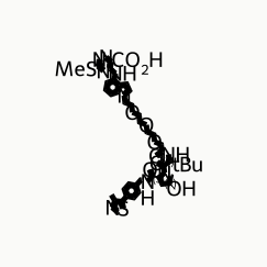 CSc1nnc(C(=O)O)c(Nc2cccc3c2ccn3CCOCCOCCOCC(=O)N[C@H](C(=O)N2C[C@H](O)C[C@H]2C(=O)NCc2ccc(-c3scnc3C)cc2)C(C)(C)C)n1